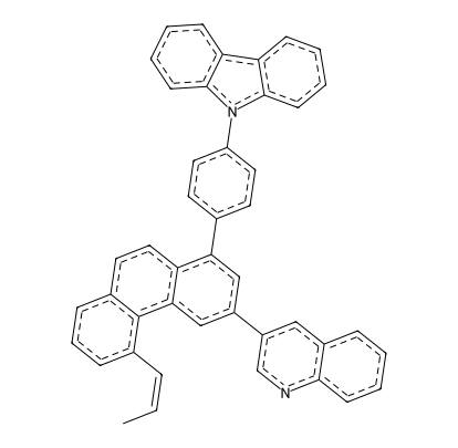 C/C=C\c1cccc2ccc3c(-c4ccc(-n5c6ccccc6c6ccccc65)cc4)cc(-c4cnc5ccccc5c4)cc3c12